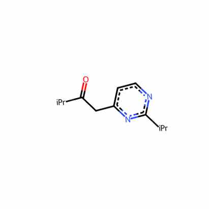 CC(C)C(=O)Cc1ccnc(C(C)C)n1